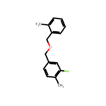 Cc1ccc(COCc2ccccc2C(F)(F)F)cc1F